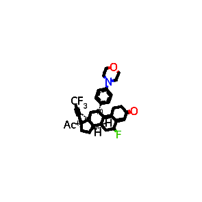 CC(=O)[C@@]1(C#CC(F)(F)F)CC[C@H]2[C@@H]3CC(F)C4=CC(=O)CCC4=C3[C@@H](c3ccc(N4CCOCC4)cc3)C[C@@]21C